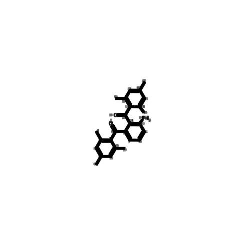 Cc1cc(C)c(C(=O)c2cccc(P)c2C(=O)c2c(C)cc(C)cc2C)c(C)c1